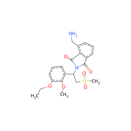 CCOc1cccc(C(CS(C)(=O)=O)N2C(=O)c3cccc(CN)c3C2=O)c1OC